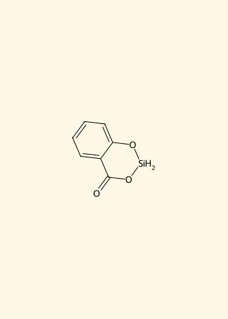 O=C1O[SiH2]Oc2ccccc21